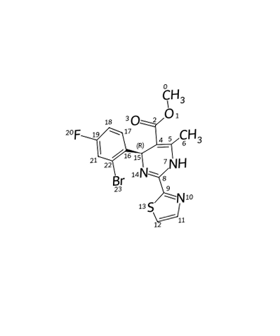 COC(=O)C1=C(C)NC(c2nccs2)=N[C@H]1c1ccc(F)cc1Br